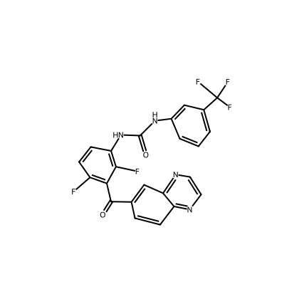 O=C(Nc1cccc(C(F)(F)F)c1)Nc1ccc(F)c(C(=O)c2ccc3nccnc3c2)c1F